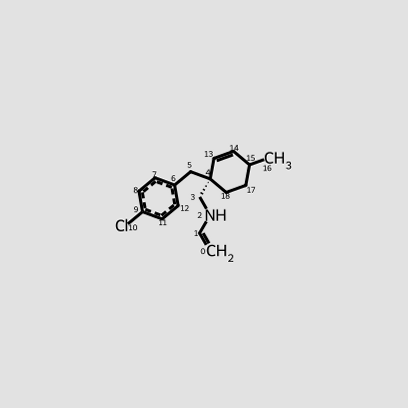 C=CNC[C@]1(Cc2ccc(Cl)cc2)C=CC(C)CC1